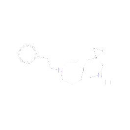 CCN1CC2(CCCN(CCc3ccccc3)CC2)OC2(CC2)C1